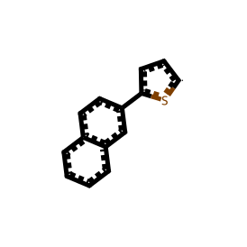 [c]1ccc(-c2ccc3ccccc3c2)s1